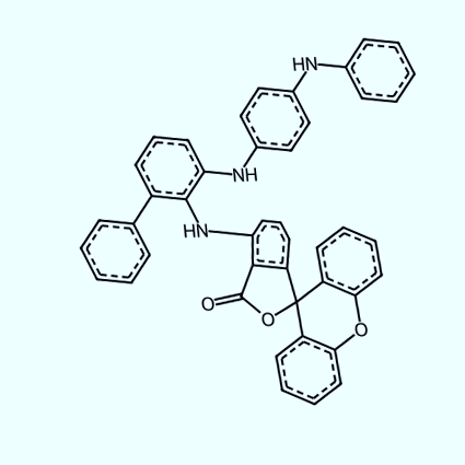 O=C1OC2(c3ccccc3Oc3ccccc32)c2cccc(Nc3c(Nc4ccc(Nc5ccccc5)cc4)cccc3-c3ccccc3)c21